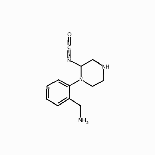 NCc1ccccc1N1CCNCC1N=C=O